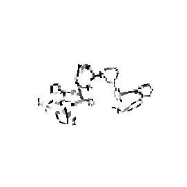 CCOC1=C(OC2CCCN(c3cncc(N4C(=O)CC(C)(C)C4=O)n3)C2)C=CCC1